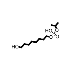 CC(C)OP(=O)(O)OCCCCCCCCO